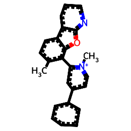 Cc1ccc2c(oc3ncccc32)c1-c1cc(-c2ccccc2)cc[n+]1C